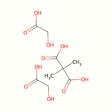 CC(C)(C(=O)O)C(=O)O.O=C(O)CO.O=C(O)CO